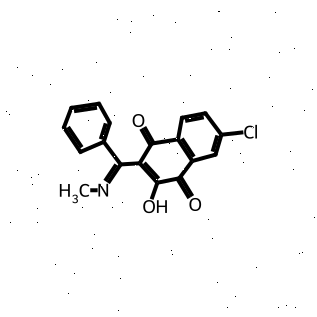 CN=C(C1=C(O)C(=O)c2cc(Cl)ccc2C1=O)c1ccccc1